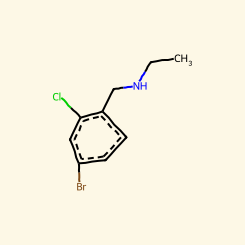 CCNCc1ccc(Br)cc1Cl